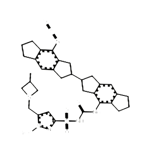 Cn1nc(S(=O)(=O)NC(=O)Nc2c3c(cc4c2CC(C2Cc5cc6c(c(N=C=O)c5C2)CCC6)C4)CCC3)cc1CN1CC(F)C1